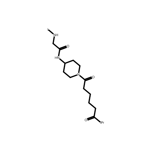 CC(C)C(=O)CCCCC(=O)N1CCC(NC(=O)CNI)CC1